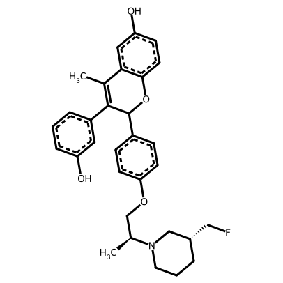 CC1=C(c2cccc(O)c2)C(c2ccc(OC[C@H](C)N3CCC[C@@H](CF)C3)cc2)Oc2ccc(O)cc21